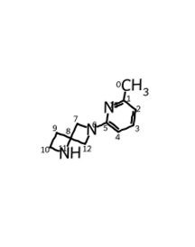 Cc1cccc(N2CC3(CCN3)C2)n1